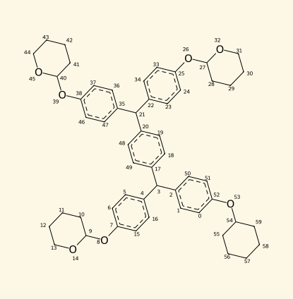 c1cc(C(c2ccc(OC3CCCCO3)cc2)c2ccc(C(c3ccc(OC4CCCCO4)cc3)c3ccc(OC4CCCCO4)cc3)cc2)ccc1OC1CCCCC1